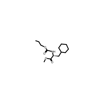 CCCOC(=O)N[C@@H](CC1CCCCC1)C(=O)OC